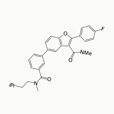 CNC(=O)c1c(-c2ccc(F)cc2)oc2ccc(-c3cccc(C(=O)N(C)CCC(C)C)c3)cc12